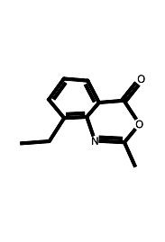 CCc1cccc2c(=O)oc(C)nc12